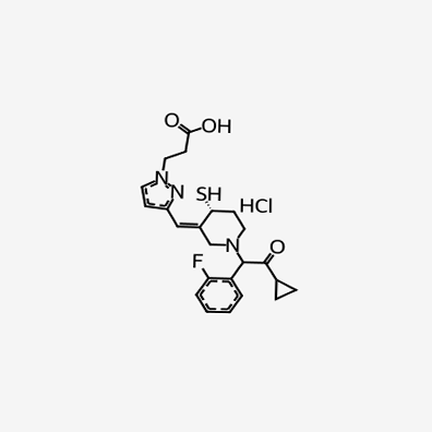 Cl.O=C(O)CCn1ccc(C=C2CN(C(C(=O)C3CC3)c3ccccc3F)CC[C@H]2S)n1